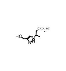 CCOC(=O)CC(C)n1cc(CO)nn1